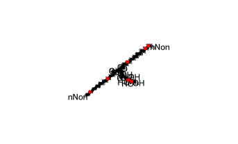 CCCCCCCCCC=CCCCCCCCCCCCCCCC(=O)OC[C@H](COP(=O)(O)OC[C@@H](O)[C@@H](O)[C@H](O)CO)OC(=O)CCCCCCCCCCCCCC/C=C\CCCCCCCCC